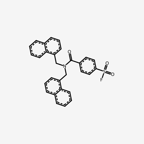 O=C(c1ccc(S(=O)(=O)F)cc1)N(Cc1cccc2ccccc12)Cc1cccc2ccccc12